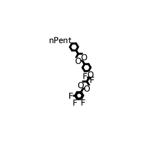 CCCCCC1CCC(C2COC(C3CCC(OC(F)(F)C4COC(c5cc(F)c(F)c(F)c5)OC4)CC3)OC2)CC1